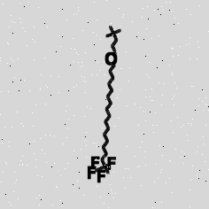 CC(C)(C)CCCOCCCCCCCCCCCCCCCCC(C)(F)C(F)(F)F